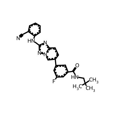 CC(C)(C)CNC(=O)c1cc(F)cc(-c2ccc3nc(Nc4ccccc4C#N)nn3c2)c1